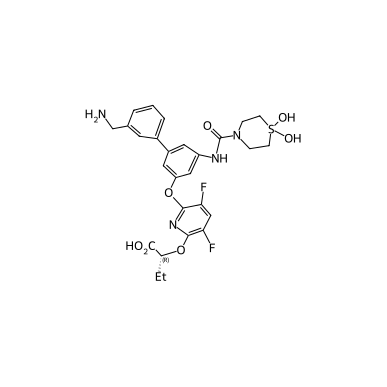 CC[C@@H](Oc1nc(Oc2cc(NC(=O)N3CCS(O)(O)CC3)cc(-c3cccc(CN)c3)c2)c(F)cc1F)C(=O)O